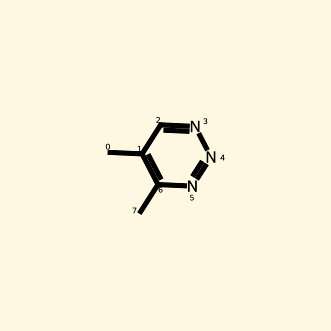 Cc1cnnnc1C